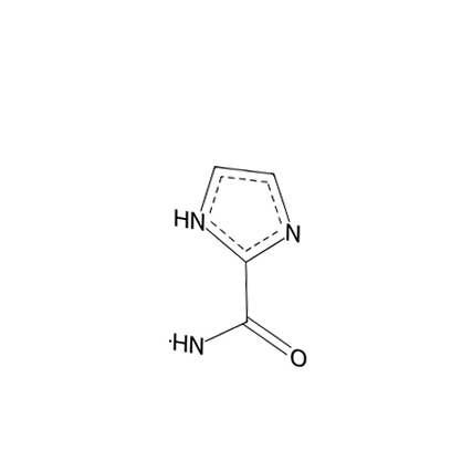 [NH]C(=O)c1ncc[nH]1